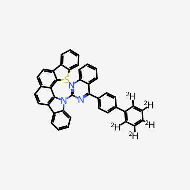 [2H]c1c([2H])c([2H])c(-c2ccc(-c3nc(-n4c5ccccc5c5ccc6ccc7c8ccccc8sc7c6c54)nc4ccccc34)cc2)c([2H])c1[2H]